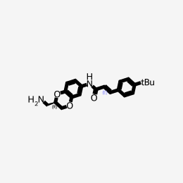 CC(C)(C)c1ccc(/C=C/C(=O)Nc2ccc3c(c2)OC[C@@H](CN)O3)cc1